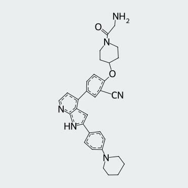 N#Cc1cc(-c2ccnc3[nH]c(-c4ccc(N5CCCCC5)cc4)cc23)ccc1OC1CCN(C(=O)CN)CC1